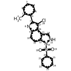 Cc1ccccc1-c1nc2ccc3c(c[nH]n3S(=O)(=O)c3ccccc3)c2c1Cl